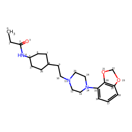 CCC(=O)NC1CCC(CCN2CCN(c3cccc4c3OCO4)CC2)CC1